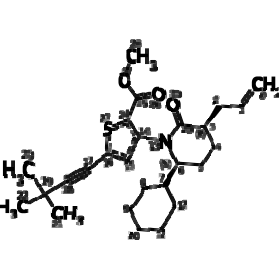 C=CC[C@H]1CC[C@@H](C2CCCCC2)N(c2cc(C#CC(C)(C)C)sc2C(=O)OC)C1=O